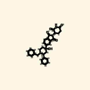 O=C1CCC(N2C(=O)c3ccc(C4(O)CCN(Cc5ccccc5)[C@H](c5ccccc5)C4)cc3C2=O)C(=O)N1